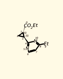 CCOC(=O)[C@H]1C[C@@H]1c1nccc(CC)n1